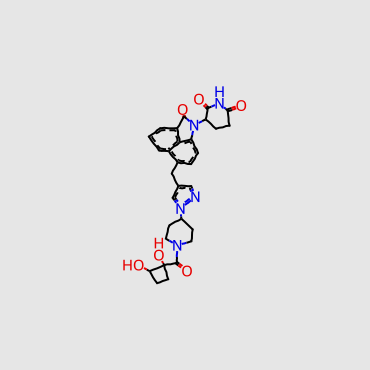 O=C1CCC(N2C(=O)c3cccc4c(Cc5cnn(C6CCN(C(=O)C7(O)CCC7O)CC6)c5)ccc2c34)C(=O)N1